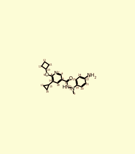 CN(NC(=O)c1cnc(OC2CCC2)c(C2CC2)c1)c1ccc(N)cc1